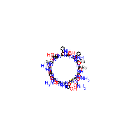 CCCC[C@H]1C(=O)N(C)[C@@H](CCCC)C(=O)N[C@@H](CCCN)C(=O)N[C@H](C(=O)NCC(N)=O)CSCC(=O)N[C@@H](Cc2ccc(O)cc2)c2nnnn2[C@@H](C)C(=O)N[C@@H](CC(N)=O)C(=O)N2CCC[C@H]2C(=O)N[C@@H](CN)C(=O)N[C@@H](CC(C)C)C(=O)N2C[C@H](O)C[C@H]2C(=O)N[C@@H](Cc2c[nH]c3ccccc23)C(=O)N[C@@H](CO)C(=O)N[C@@H](Cc2c[nH]c3ccccc23)C(=O)N1C